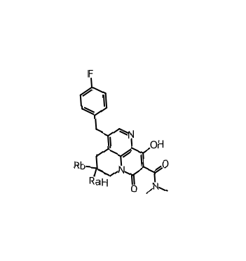 CN(C)C(=O)c1c(O)c2ncc(Cc3ccc(F)cc3)c3c2n(c1=O)C[C]([Rb])([RaH])C3